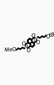 COCCCCCN1C(=O)c2ccc3c4c(ccc(c24)C1=O)C(=O)N(CCCCCOC(C)(C)C)C3=O